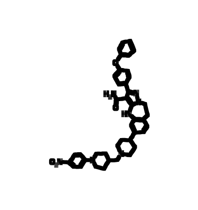 NC(=O)c1c(-c2ccc(Oc3ccccc3)cc2)nn2c1Nc1cc(C3CCN(CC4CCN(c5ccc([N+](=O)[O-])cc5)CC4)CC3)ccc1CC2